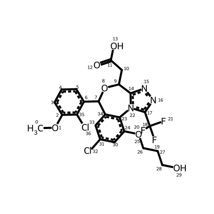 COc1cccc(C2OC(CC(=O)O)c3nnc(C(F)(F)F)n3-c3c(OCCCO)cc(Cl)cc32)c1Cl